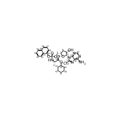 C[C@H](NP(=O)(OC[C@@H]1C[C@H](O)[C@H](n2c(Cl)nc3c(N)ncnc32)O1)Oc1cccc2ccccc12)C(=O)OC1CCCCC1